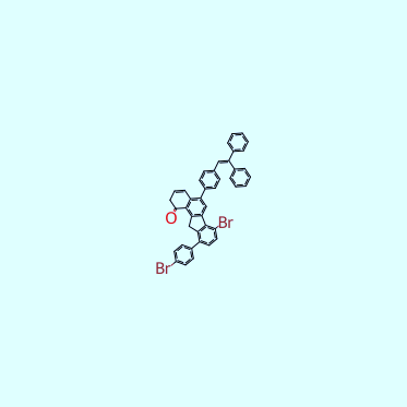 O=C1CC=Cc2c(-c3ccc(C=C(c4ccccc4)c4ccccc4)cc3)cc3c(c21)Cc1c(-c2ccc(Br)cc2)ccc(Br)c1-3